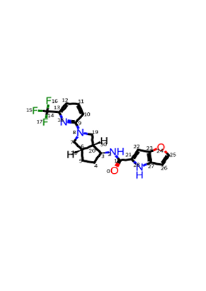 O=C(N[C@H]1CC[C@@H]2CN(c3cccc(C(F)(F)F)n3)C[C@@H]21)c1cc2occc2[nH]1